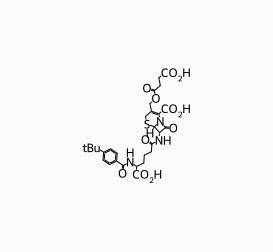 CC(C)(C)c1ccc(C(=O)NC(CCCC(=O)N[C@@H]2C(=O)N3C(C(=O)O)=C(COC(=O)CCC(=O)O)CS[C@@H]23)C(=O)O)cc1